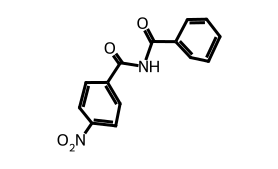 O=C(NC(=O)c1ccc([N+](=O)[O-])cc1)c1ccccc1